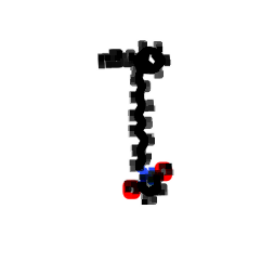 CCCCC1C2C=CC(C2)C1CCCCCCCCCCCN1C(=O)C=CC1=O